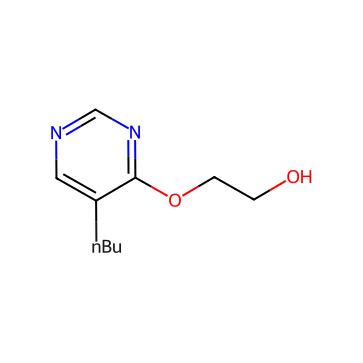 CCCCc1cncnc1OCCO